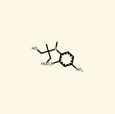 CN(c1ccc([N+](=O)[O-])cc1[N+](=O)[O-])C(C)(CO)CO